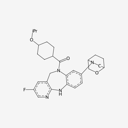 CC(C)OC1CCC(C(=O)N2Cc3cc(F)cnc3Nc3ccc(N4CC5CCC4CO5)cc32)CC1